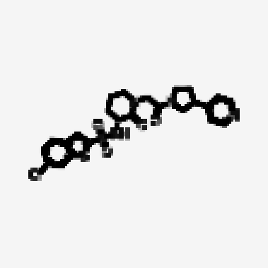 O=C(CN1CCC[C@H](NS(=O)(=O)c2cc3ccc(Cl)cc3s2)C1=O)N1CCC(c2ccncc2)C1